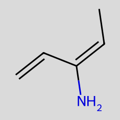 C=C/C(N)=C\C